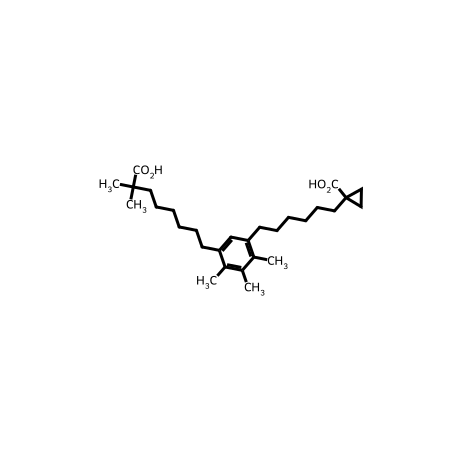 Cc1c(CCCCCCC(C)(C)C(=O)O)cc(CCCCCCC2(C(=O)O)CC2)c(C)c1C